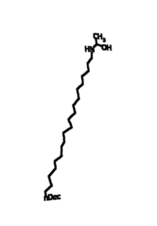 CCCCCCCCCCCCCCCCCCCCCCCCCCCCCCNC(C)O